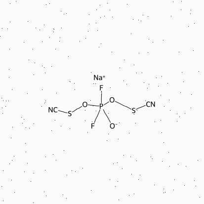 N#CSOP([O-])(F)(F)OSC#N.[Na+]